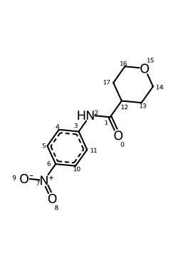 O=C(Nc1ccc([N+](=O)[O-])cc1)C1CCOCC1